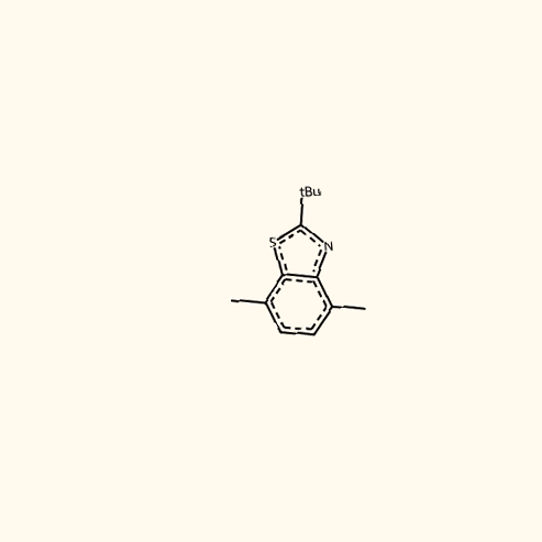 Cc1ccc(C)c2sc(C(C)(C)C)nc12